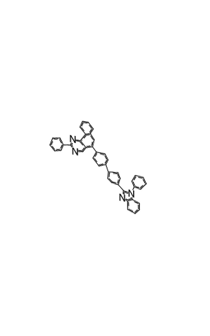 c1ccc(-c2ncc3c(-c4ccc(-c5ccc(-c6nc7ccccc7n6-c6ccccc6)cc5)cc4)cc4ccccc4c3n2)cc1